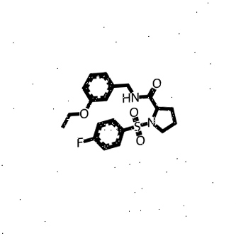 CCOc1cccc(CNC(=O)C2CCCN2S(=O)(=O)c2ccc(F)cc2)c1